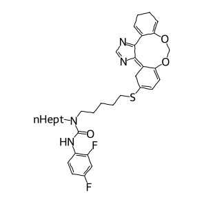 CCCCCCCN(CCCCCSC1=CC=C2OCOC3=CCCC=C3C3=NC=N/C3=C/2C1)C(=O)Nc1ccc(F)cc1F